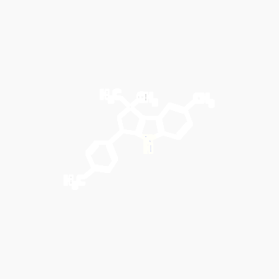 Cc1ccc(C2CC(C)(C)c3c2[nH]c2ccc(C)cc32)cc1